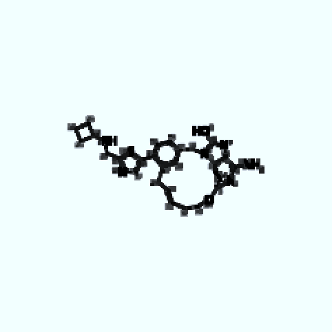 Nc1nc2nc3c1nc(O)n3Cc1ccc(-c3cnc(CNC4CCC4)s3)c(c1)C/C=C/CCO2